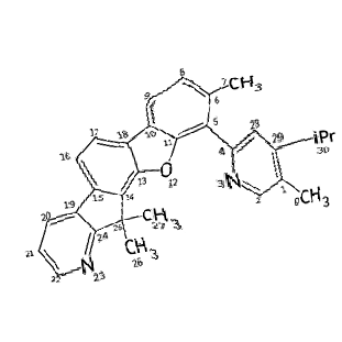 Cc1cnc(-c2c(C)ccc3c2oc2c4c(ccc23)-c2cccnc2C4(C)C)cc1C(C)C